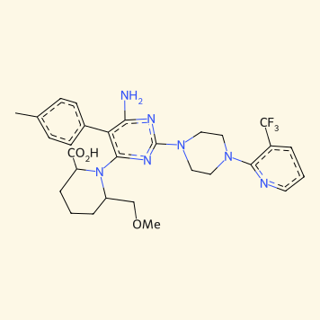 COCC1CCCC(C(=O)O)N1c1nc(N2CCN(c3ncccc3C(F)(F)F)CC2)nc(N)c1-c1ccc(C)cc1